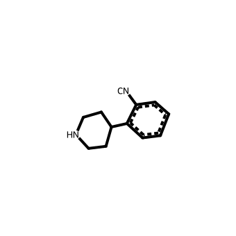 [C-]#[N+]c1ccccc1C1CCNCC1